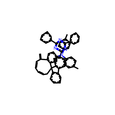 C=C1/C=C\C=C/CC2(c3cc(N(c4ccc(C)cc4)c4ccc(C)cc4)ccc31)c1ccccc1-c1ccc(-c3nc(-c4ccccc4)nc(-c4ccccc4)n3)cc12